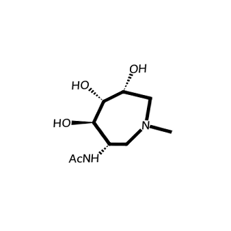 CC(=O)N[C@H]1CN(C)C[C@@H](O)[C@@H](O)[C@@H]1O